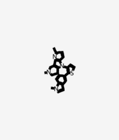 Cc1ccc2c(n1)c1c(n2-c2ccsc2-c2ccc3c(ccn3C)c2)CCN(C)C1